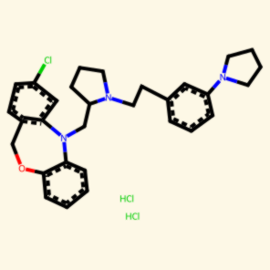 Cl.Cl.Clc1ccc2c(c1)N(CC1CCCN1CCc1cccc(N3CCCC3)c1)c1ccccc1OC2